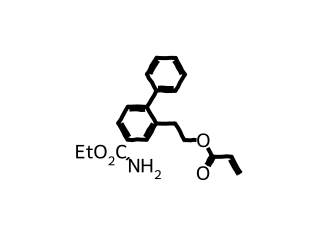 C=CC(=O)OCCc1ccccc1-c1ccccc1.CCOC(N)=O